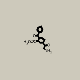 NCC(=O)C1=CC(=C=O)C(C(=O)c2ccccc2)C=C1.O